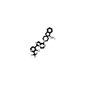 N[C@@H]1c2ccccc2CC12CCN(c1nccn3c(-c4ccnc(C(F)(F)F)c4Cl)ncc13)CC2